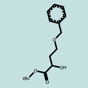 CC(C)(C)OC(=O)C(O)CCOCc1ccccc1